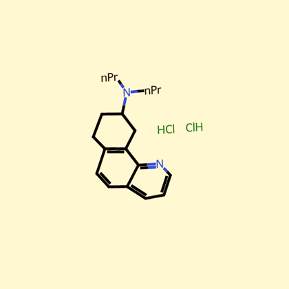 CCCN(CCC)C1CCc2ccc3cccnc3c2C1.Cl.Cl